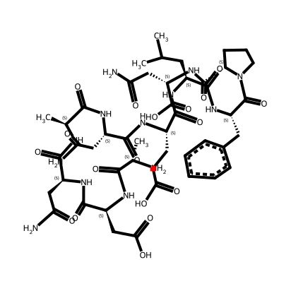 CC(C)C[C@H](NC(=O)[C@H](CCC(=O)O)NC(=O)[C@H](CC(N)=O)NC(=O)[C@H](C)NC(=O)[C@H](CC(N)=O)NC(=O)[C@H](CC(=O)O)NC(=O)[C@H](C)N)C(=O)N[C@@H](Cc1ccccc1)C(=O)N1CCC[C@H]1C(=O)N[C@@H](CC(N)=O)C(=O)O